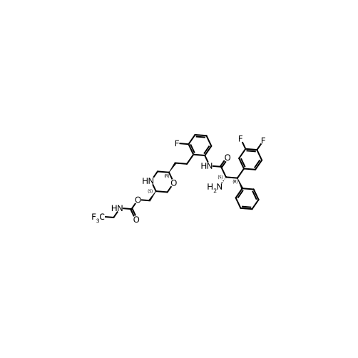 N[C@H](C(=O)Nc1cccc(F)c1CC[C@@H]1CN[C@H](COC(=O)NCC(F)(F)F)CO1)[C@H](c1ccccc1)c1ccc(F)c(F)c1